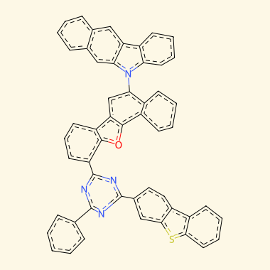 c1ccc(-c2nc(-c3ccc4c(c3)sc3ccccc34)nc(-c3cccc4c3oc3c5ccccc5c(-n5c6ccccc6c6cc7ccccc7cc65)cc43)n2)cc1